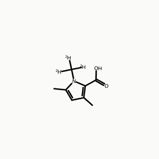 [2H]C([2H])([2H])n1c(C)cc(C)c1C(=O)O